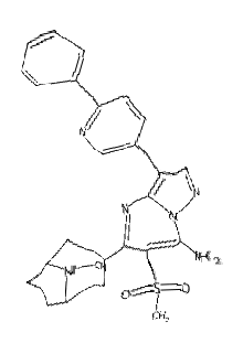 CS(=O)(=O)c1c(C2CC3CCC(C2)N3C#N)nc2c(-c3ccc(-c4ccccc4)nc3)cnn2c1N